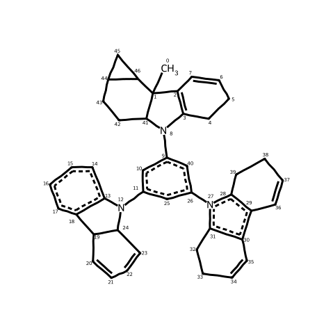 CC12C3=C(CCC=C3)N(c3cc(N4c5ccccc5C5C=CC=CC54)cc(-n4c5c(c6c4CCC=C6)C=CCC5)c3)C1CCC1CC12